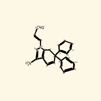 Nc1nn(C=CC=O)c2c1C=CC(c1ccccc1)(c1ccccc1)C2